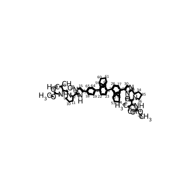 COC(=O)NC(C(=O)N1CCCC1c1ncc(-c2ccc(-c3ccc(-c4ccc(-c5cnc(C6CCCN6C(=O)C(NC(=O)OC)C(C)C)[nH]5)c5c4C4CCC5C4)c4c3C3CCC4C3)cc2)[nH]1)C(C)C